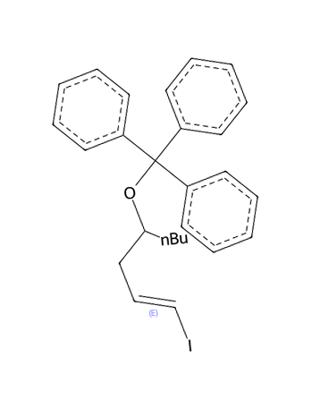 CCCCC(C/C=C/I)OC(c1ccccc1)(c1ccccc1)c1ccccc1